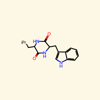 CC(C)CC1NC(=O)C(Cc2c[nH]c3ccccc23)NC1=O